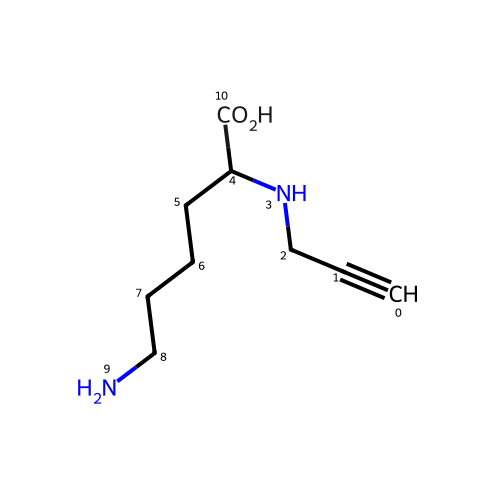 C#CCNC(CCCCN)C(=O)O